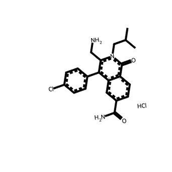 CC(C)Cn1c(CN)c(-c2ccc(Cl)cc2)c2cc(C(N)=O)ccc2c1=O.Cl